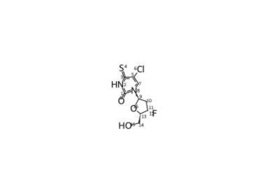 O=c1[nH]c(=S)c(Cl)cn1[C@H]1C[C@H](F)[C@@H](CO)O1